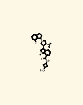 CN(C)[C@H]1CN(C2CCc3cccc(F)c32)C[C@@H]1c1cn(C)c2c(C(=O)NC3CC(O)C3)cccc12